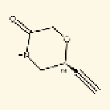 C#C[C@H]1CNC(=O)CO1